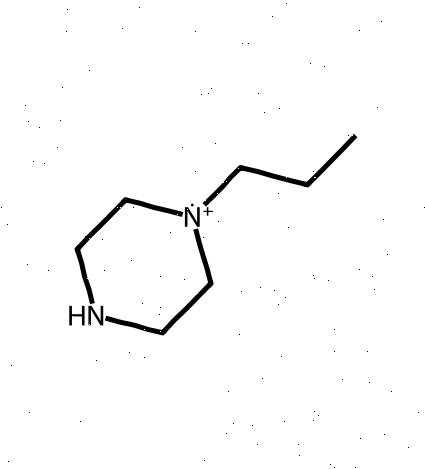 CCC[N+]1CCNCC1